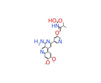 COc1cc2ncc3c(N)nc(-c4cncc(OC[C@@H](NC(=O)O)C(C)C)c4)cc3c2cc1OC